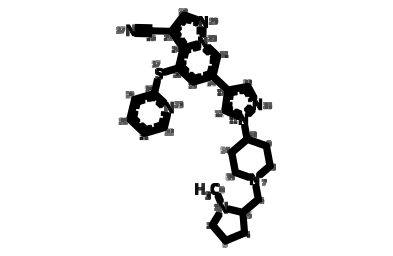 CN1CCCC1CN1CCC(n2cc(-c3cc(Sc4ccccn4)c4c(C#N)cnn4c3)cn2)CC1